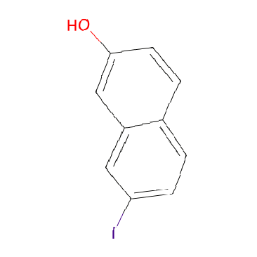 Oc1ccc2ccc(I)cc2c1